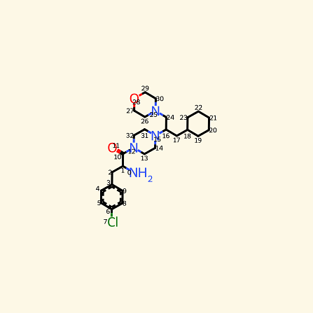 NC(Cc1ccc(Cl)cc1)C(=O)N1CCN(C(CC2CCCCC2)CN2CCOCC2)CC1